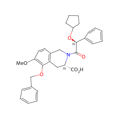 COc1ccc2c(c1OCc1ccccc1)C[C@@H](C(=O)O)N(C(=O)[C@@H](OC1CCCC1)c1ccccc1)C2